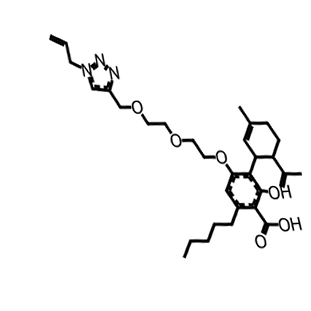 C=CCn1cc(COCCOCCOc2cc(CCCCC)c(C(=O)O)c(O)c2C2C=C(C)CCC2C(=C)C)nn1